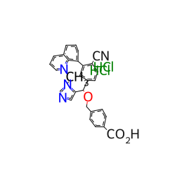 Cl.Cl.Cn1cncc1C(OCc1ccc(C(=O)O)cc1)c1ccc(C#N)c(-c2cccc3cccnc23)c1